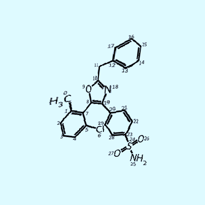 Cc1cccc(Cl)c1-c1oc(Cc2ccccc2)nc1-c1ccc(S(N)(=O)=O)cc1